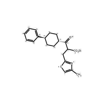 CCOC(=O)C(Cc1nc(C)cs1)C(=O)[C@H]1CC[C@H](c2ccccc2)CC1